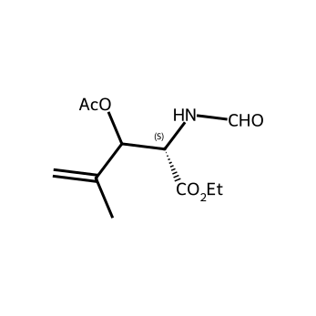 C=C(C)C(OC(C)=O)[C@H](NC=O)C(=O)OCC